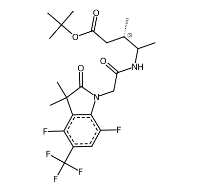 CC(NC(=O)CN1C(=O)C(C)(C)c2c(F)c(C(F)(F)F)cc(F)c21)[C@@H](C)CC(=O)OC(C)(C)C